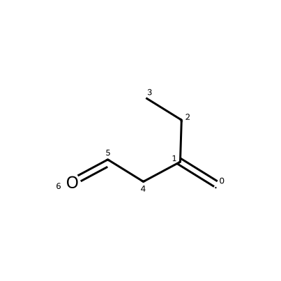 [CH]=C(CC)CC=O